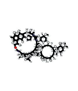 CC[C@H]1OC(=O)[C@H](C)[C@@H](O[C@H]2C[C@@](C)(OC)[C@@H](OC(=O)N[C@@H]3CCN(C4=C5NC(=O)/C(C)=C\C=C\[C@H](C)[C@H](O)[C@@H](C)[C@@H](O)[C@@H](C)[C@H](OC(C)=O)[C@H](C)[C@@H](OC)/C=C/O[C@@]6(C)Oc7c(C)c(O)c(c(c7C6=O)C4=O)C5=O)C3)[C@H](C)O2)[C@H](C)[C@@H](O[C@@H]2O[C@H](C)C[C@H](N(C)C)[C@H]2O)[C@](C)(OC)C[C@@H](C)C(=O)[C@H](C)[C@@H](O)[C@]1(C)O